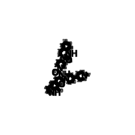 Cc1cc(CC(NC(=O)N2CCC(N3CCc4ccccc4NC3=O)CC2)C(=O)N2CCC(C3CCN(C)CC3)CC2)cc2cc[nH]c12